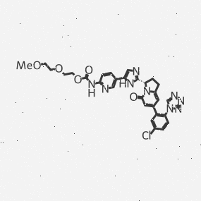 COCCOCCOC(=O)Nc1ccc(-c2cnc([C@@H]3CCc4cc(-c5cc(Cl)ccc5-n5cnnn5)cc(=O)n43)[nH]2)cn1